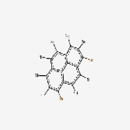 [2H]c1c([2H])c2c([2H])c([2H])c3c([2H])c([2H])c(Br)c4c([2H])c([2H])c(c1Br)c2c34